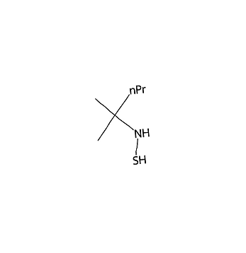 CCCC(C)(C)NS